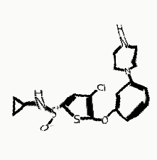 [O-][S+](NC1CC1)c1cc(Cl)c(Oc2cccc(N3CCNCC3)c2)s1